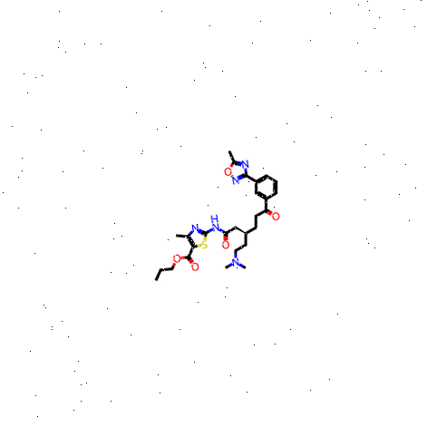 CCCOC(=O)c1sc(NC(=O)C[C@@H](CCC(=O)c2cccc(-c3noc(C)n3)c2)CCN(C)C)nc1C